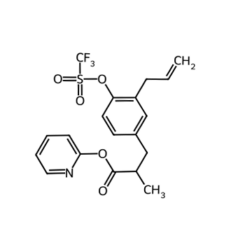 C=CCc1cc(CC(C)C(=O)Oc2ccccn2)ccc1OS(=O)(=O)C(F)(F)F